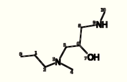 CCCN(C)CC(O)CNC